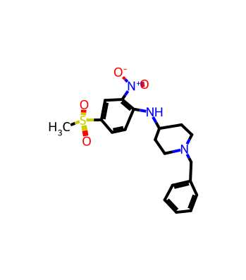 CS(=O)(=O)c1ccc(NC2CCN(Cc3ccccc3)CC2)c([N+](=O)[O-])c1